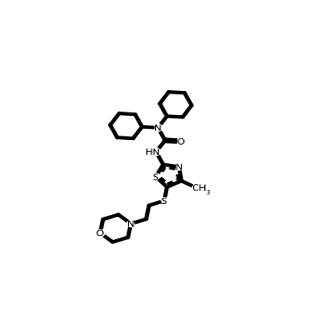 Cc1nc(NC(=O)N(C2CCCCC2)C2CCCCC2)sc1SCCN1CCOCC1